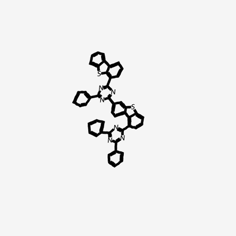 c1ccc(-c2nc(-c3ccc4c(c3)sc3cccc(-c5nc(-c6ccccc6)nc(-c6ccccc6)n5)c34)nc(-c3cccc4c3sc3ccccc34)n2)cc1